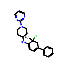 CC1(Cl)CC(c2ccccc2)=CC=C1NC1CCN(c2ncccn2)CC1